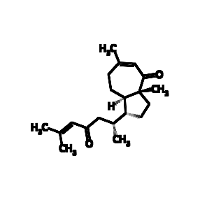 CC(C)=CC(=O)C[C@@H](C)[C@H]1CC[C@@]2(C)C(=O)C=C(C)CC[C@H]12